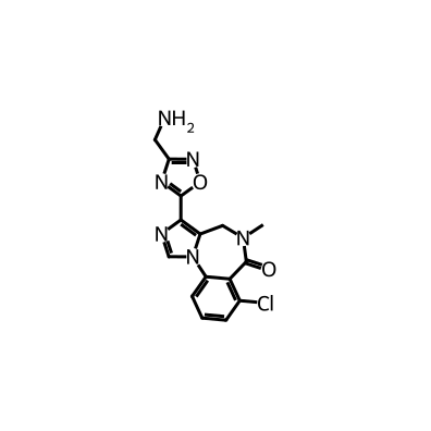 CN1Cc2c(-c3nc(CN)no3)ncn2-c2cccc(Cl)c2C1=O